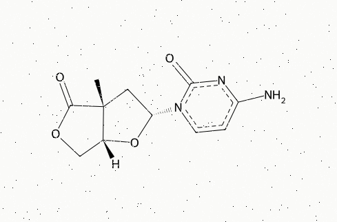 C[C@@]12C[C@H](n3ccc(N)nc3=O)O[C@@H]1COC2=O